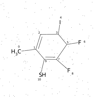 CC1=CC(I)C(F)C(F)=C1S